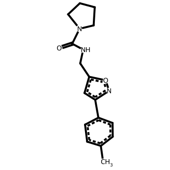 Cc1ccc(-c2cc(CNC(=O)N3CCCC3)on2)cc1